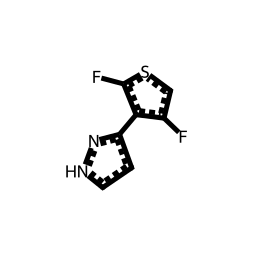 Fc1csc(F)c1-c1cc[nH]n1